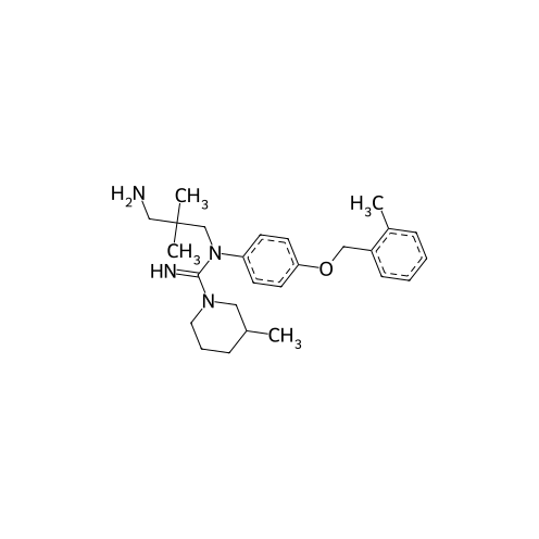 Cc1ccccc1COc1ccc(N(CC(C)(C)CN)C(=N)N2CCCC(C)C2)cc1